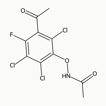 CC(=O)NOc1c(Cl)c(Cl)c(F)c(C(C)=O)c1Cl